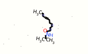 C/C=C/C#CCC/C=C\C=C\C(=O)NCC(C)C